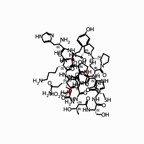 C[C@H](NC(=O)[C@H](CS)NC(=O)[C@H](CO)NC(=O)[C@@H](NC(=O)[C@H](CCC(=O)O)NC(=O)[C@@H]1CCCN1C(=O)[C@@H](NC(=O)[C@@H]1CCCN1C(=O)[C@@H]1CCCN1C(=O)[C@H](CS)NC(=O)[C@H](Cc1c[nH]cn1)NC(=O)[C@H](CCC(N)=O)NC(=O)[C@H](CCCCN)NC(=O)[C@H](Cc1ccc(O)cc1)NC(=O)[C@@H](N)Cc1c[nH]cn1)[C@@H](C)O)[C@@H](C)O)C(=O)N[C@H](C(=O)N[C@@H](CCC(N)=O)C(N)=O)[C@@H](C)O